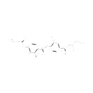 CCCCCCCCCC(=O)Oc1ccc(C(=O)Oc2ccc(C(=O)OC(C)CCCCCC)cc2F)c(F)c1